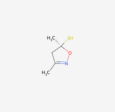 CC1=NO[C@](C)(S)C1